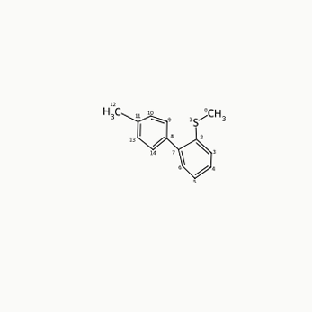 CSc1ccccc1-c1ccc(C)cc1